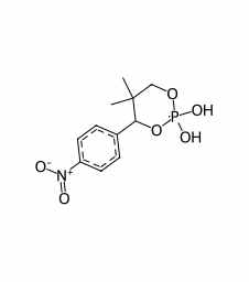 CC1(C)CO[P](O)(O)OC1c1ccc([N+](=O)[O-])cc1